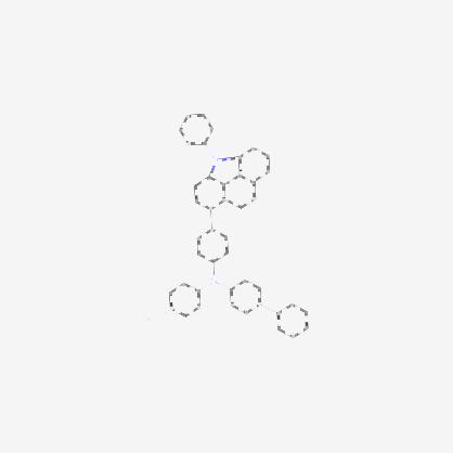 N#Cc1ccc(N(c2ccc(-c3ccccc3)cc2)c2ccc(-c3ccc4c5c3ccc3cccc(c35)n4-c3ccccc3)cc2)cc1